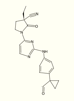 CC[C@]1(C#N)CCN(c2ccnc(Nc3ccc(C4([C]=O)CC4)cc3)n2)C1=O